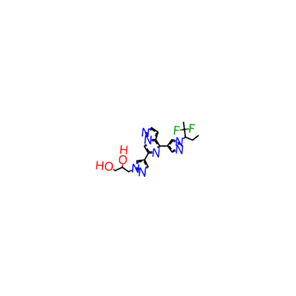 CCC(n1cc(-c2nc(-c3cnn(CC(O)CO)c3)cn3nccc23)cn1)C(C)(F)F